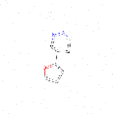 [c]1nnccc1-c1ccco1